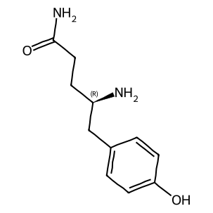 NC(=O)CC[C@@H](N)Cc1ccc(O)cc1